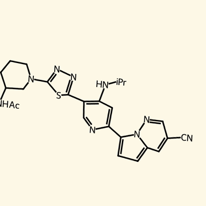 CC(=O)NC1CCCN(c2nnc(-c3cnc(-c4ccc5cc(C#N)cnn45)cc3NC(C)C)s2)C1